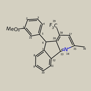 COc1cccc(C2c3ccccc3-c3nc(C)cc(C(F)(F)F)c32)c1